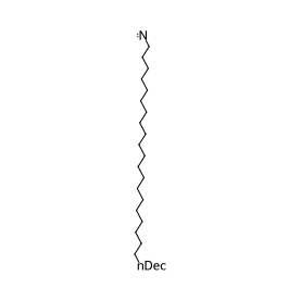 CCCCCCCCCCCCCCCCCCCCCCCCCCCCCC[N]